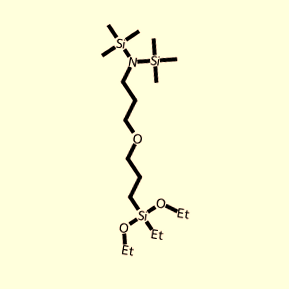 CCO[Si](CC)(CCCOCCCN([Si](C)(C)C)[Si](C)(C)C)OCC